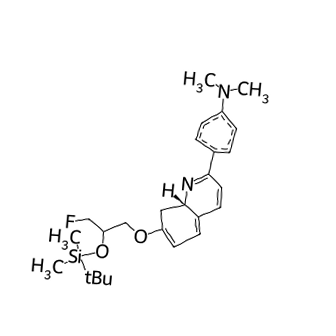 CN(C)c1ccc(C2=N[C@H]3CC(OCC(CF)O[Si](C)(C)C(C)(C)C)=CC=C3C=C2)cc1